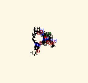 C=C[C@@H]1C[C@H]2CCCCCc3nc4ccc(OC)cc4nc3O[C@H]3CN(C(=O)[C@H](C(C)(C)C)NC(=O)O[C@@H]2C1)[C@H](C(=O)N[C@]1(C(=O)NS(=O)(=O)C2CC2)C[C@H]1C(F)F)[C@@H]3C